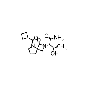 C[C@@H](O)[C@@H](C(N)=O)N1C[C@]2(CCCN2C(=O)C2CCC2)C1=O